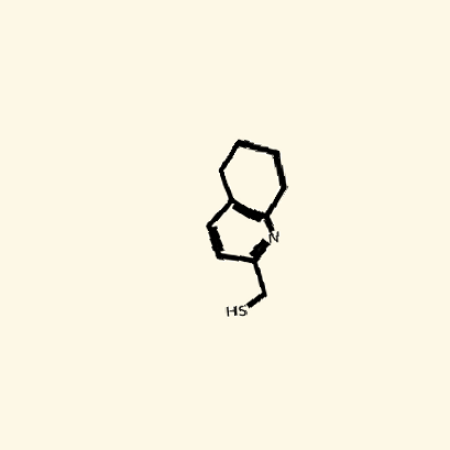 SCc1ccc2c(n1)CCCC2